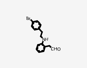 O=CCc1ccccc1NCCc1ccc(Br)cc1